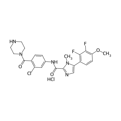 COc1ccc(-c2cnc(C(=O)Nc3ccc(C(=O)N4CCNCC4)c(Cl)c3)n2C)c(F)c1F.Cl